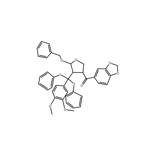 COc1ccc(C(Sc2ccccc2)(Sc2ccccc2)C2C(OCc3ccccc3)OCC2C(=O)c2ccc3c(c2)OCO3)cc1OC